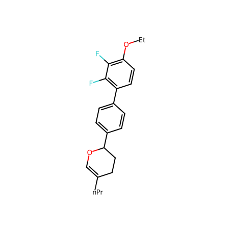 CCCC1=COC(c2ccc(-c3ccc(OCC)c(F)c3F)cc2)CC1